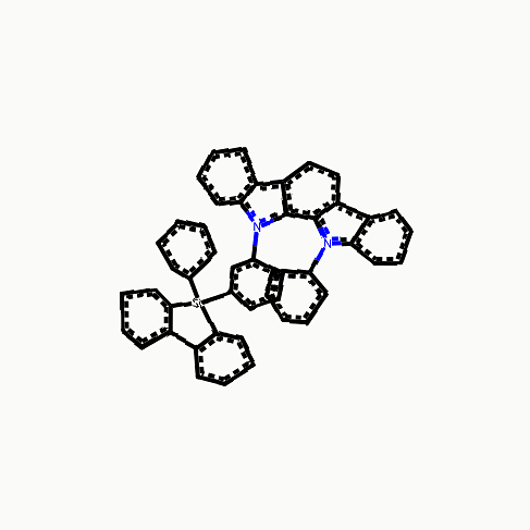 c1ccc(-n2c3ccccc3c3ccc4c5ccccc5n(-c5cccc([Si]6(c7ccccc7)c7ccccc7-c7ccccc76)c5)c4c32)cc1